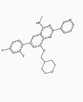 CNc1nc(-c2cccnc2)nc2c(OCC3CCOCC3)cc(-c3ccc(F)cc3F)cc12